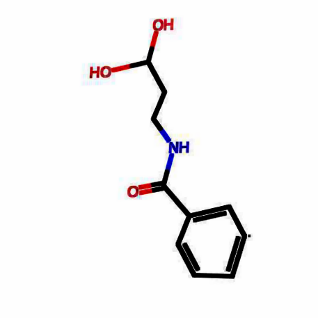 O=C(NCCC(O)O)c1c[c]ccc1